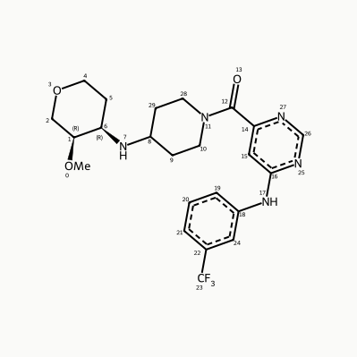 CO[C@H]1COCC[C@H]1NC1CCN(C(=O)c2cc(Nc3cccc(C(F)(F)F)c3)ncn2)CC1